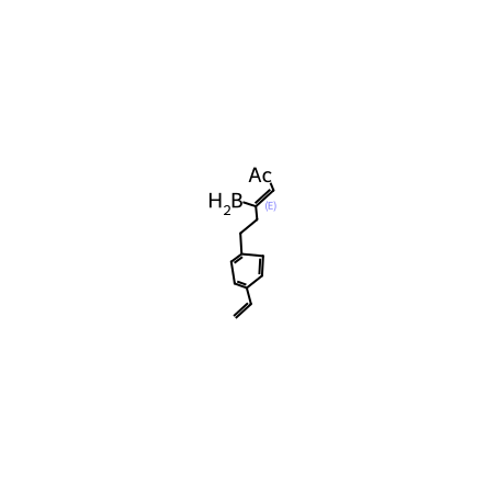 B/C(=C\C(C)=O)CCc1ccc(C=C)cc1